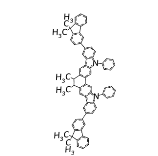 CC1c2cc3c4cc(-c5ccc6c(c5)-c5ccccc5C6(C)C)ccc4n(-c4ccccc4)c3cc2-c2cc3c(cc2C1C)c1cc(-c2ccc4c(c2)-c2ccccc2C4(C)C)ccc1n3-c1ccccc1